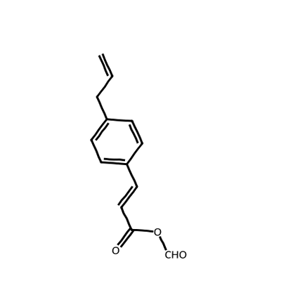 C=CCc1ccc(C=CC(=O)OC=O)cc1